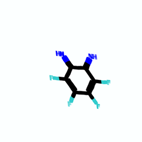 N=C1C(=N)C(F)=C(F)C(F)=C1F